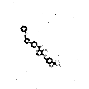 Cc1c(NCc2ccc(C(C)(C)C)cc2)ncnc1C(=O)N1CCC(N2CCC(COc3ccccc3)C2)CC1